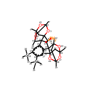 CC12CC3(C)OC(C)(CC(C)(O1)C3(CP)c1cc([Si](C)(C)C)c([Si](C)(C)C)cc1C1(CP)C3(C)CC4(C)OC(C)(CC1(C)O4)O3)O2